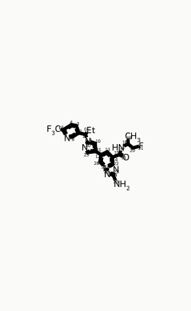 CCC(c1ccc(C(F)(F)F)nc1)n1cc(-c2cc(C(=O)NC(C)CF)c3nc(N)nn3c2)cn1